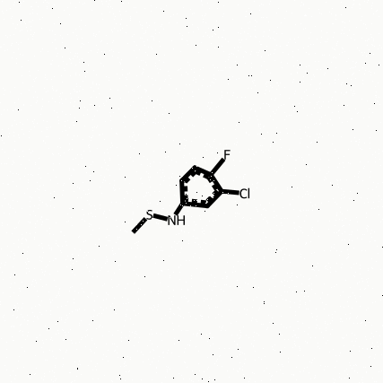 CSNc1ccc(F)c(Cl)c1